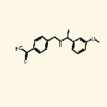 COc1cccc(C(C)NCc2ccc(C(=O)O)cc2)c1